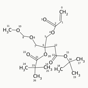 C=CC(=O)OCC(COCOC)(CC(=O)OC(C)(C)C)OC(=O)C(C)(C)C